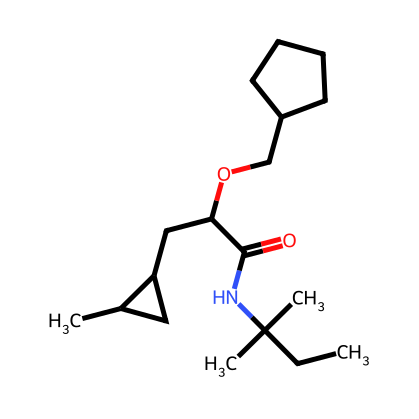 CCC(C)(C)NC(=O)C(CC1CC1C)OCC1CCCC1